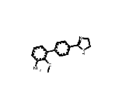 COc1c(N)cccc1-c1ccc(C2=NCCN2)cc1